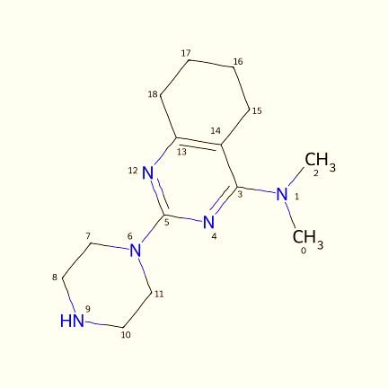 CN(C)c1nc(N2CCNCC2)nc2c1CCCC2